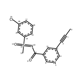 CC#Cc1cncc(C(=O)N=S(C)(=O)c2cccc(Cl)c2)c1